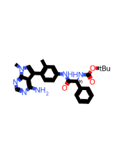 Cc1cc(NC(=O)[C@H](NC(=O)OC(C)(C)C)c2ccccc2)ccc1-c1cn(C)c2ncnc(N)c12